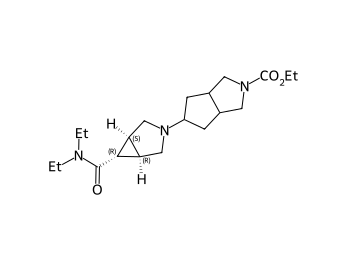 CCOC(=O)N1CC2CC(N3C[C@@H]4[C@H](C3)[C@H]4C(=O)N(CC)CC)CC2C1